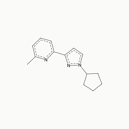 Cc1cccc(-c2ccn(C3CCCC3)n2)n1